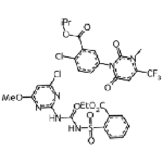 CC(C)OC(=O)c1cc(-n2c(=O)cc(C(F)(F)F)n(C)c2=O)ccc1Cl.CCOC(=O)c1ccccc1S(=O)(=O)NC(=O)Nc1nc(Cl)cc(OC)n1